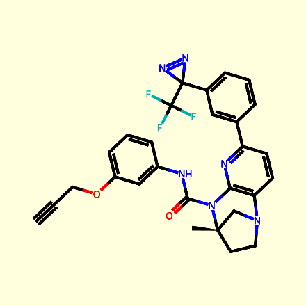 C#CCOc1cccc(NC(=O)N2c3nc(-c4cccc(C5(C(F)(F)F)N=N5)c4)ccc3N3CC[C@@]2(C)C3)c1